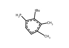 Cc1ccc(P)c(C(C)(C)C)c1C